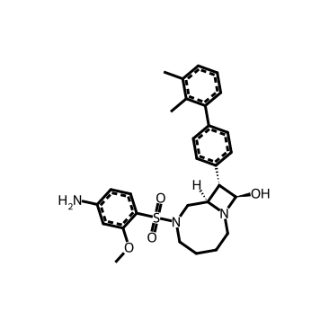 COc1cc(N)ccc1S(=O)(=O)N1CCCCN2[C@H](O)[C@@H](c3ccc(-c4cccc(C)c4C)cc3)[C@@H]2C1